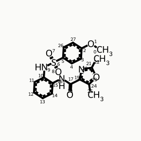 COc1ccc(S(=O)(=O)Nc2ccccc2NC(=O)c2nc(C)oc2C)cc1